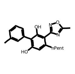 CCCCCc1cc(O)c(-c2cccc(C)c2)c(O)c1-c1noc(C)n1